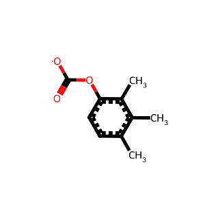 Cc1ccc(OC([O])=O)c(C)c1C